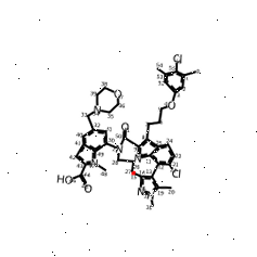 Cc1cc(OCCCc2c3n(c4c(-c5c(C)nn(C)c5C)c(Cl)ccc24)C(C)CN(c2cc(CN4CCOCC4)cc4cc(C(=O)O)n(C)c24)C3=O)cc(C)c1Cl